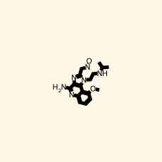 COc1cccc2nc(N)c3nc(CN=O)n(CCNC(C)C)c3c12